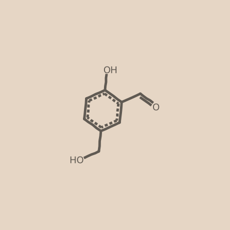 O=Cc1cc(CO)ccc1O